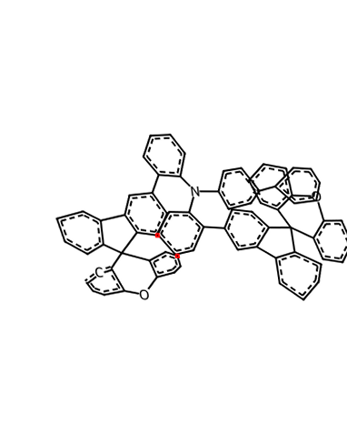 c1ccc(-c2ccc(N(c3ccccc3-c3ccc4c(c3)-c3ccccc3C43c4ccccc4Oc4ccccc43)c3ccccc3-c3ccc4c(c3)-c3ccccc3C43c4ccccc4Oc4ccccc43)cc2)cc1